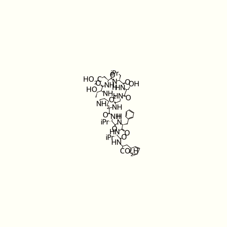 CC(C)C[C@H](NC(=O)[C@H](CC(=O)O)NC(=O)[C@@H](N)[C@@H](C)O)C(=O)N[C@@H](CO)C(=O)NCC(=O)N[C@@H](CCCCN)C(=O)N[C@H](C(=O)N[C@@H](Cc1ccccc1)C(=O)N[C@H](C(=O)N[C@@H](Cc1ccccc1)C(=O)O)C(C)C)C(C)C